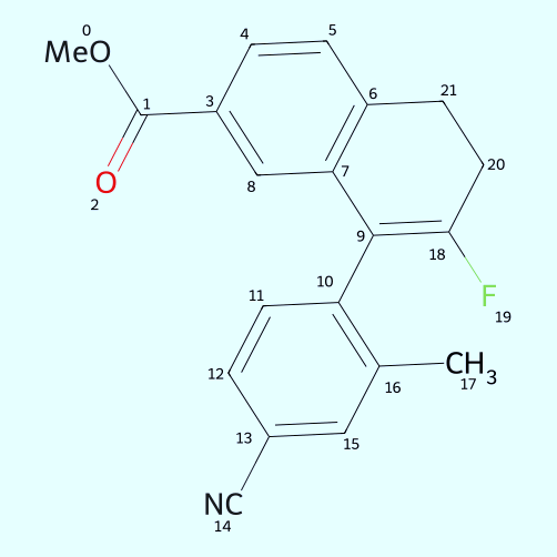 COC(=O)c1ccc2c(c1)C(c1ccc(C#N)cc1C)=C(F)CC2